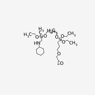 CCO[Si](C)(CNC1CCCCC1)OCC.CCO[Si](CCCOCC1CO1)(OCC)OCC